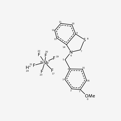 COc1ccc(CN2CSc3ccccc32)cc1.[F][Sb-]([F])([F])([F])([F])[F].[H+]